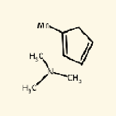 CN(C)C.[Mn][C]1=CC=CC1